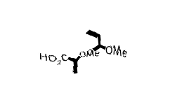 C=C(OC)C(=O)O.C=CC(=O)OC